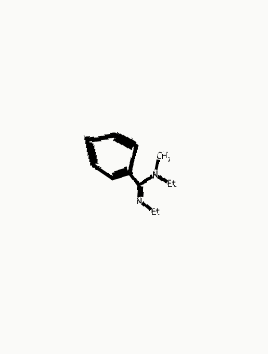 CCN=C(c1ccccc1)N(C)CC